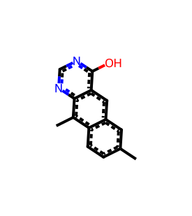 Cc1ccc2c(C)c3ncnc(O)c3cc2c1